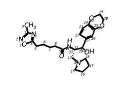 Cc1noc(CCCCC(=O)N[C@@H](CN2CCCC2)[C@H](O)c2ccc3c(c2)OCCO3)n1